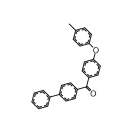 Cc1ccc(Oc2ccc(C(=O)c3ccc(-c4ccccc4)cc3)cc2)cc1